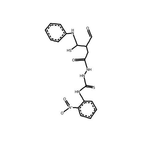 O=CC(CC(=O)NNC(=S)Nc1ccccc1[N+](=O)[O-])C(S)Nc1ccccc1